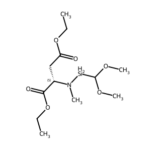 CCOC(=O)C[C@@H](C(=O)OCC)N(C)[SiH2]C(OC)OC